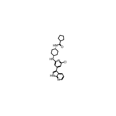 O=C(N[C@H]1CC[C@H](Nc2cc(-c3c[nH]c4ncccc34)cc(Cl)n2)CC1)C1CCCC1